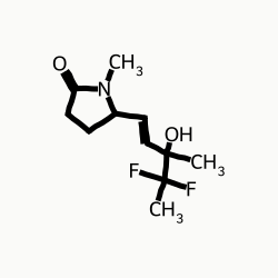 CN1C(=O)CCC1/C=C/C(C)(O)C(C)(F)F